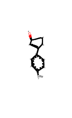 CSc1ccc(C2=CC(=O)CC2)cc1